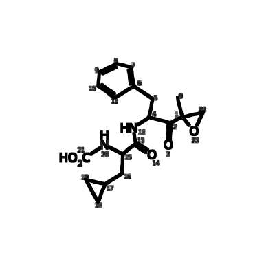 CC1(C(=O)C(Cc2ccccc2)NC(=O)C(CC2CC2)NC(=O)O)CO1